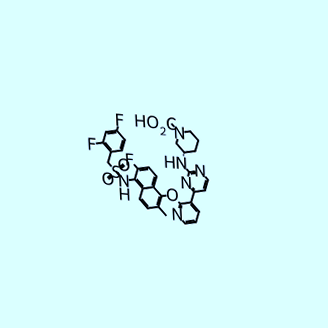 Cc1ccc2c(NS(=O)(=O)Cc3ccc(F)cc3F)c(F)ccc2c1Oc1ncccc1-c1ccnc(N[C@H]2CCCN(C(=O)O)C2)n1